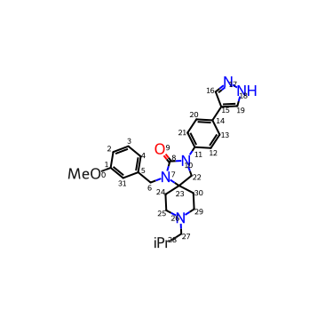 COc1cccc(CN2C(=O)N(c3ccc(-c4cn[nH]c4)cc3)CC23CCN(CC(C)C)CC3)c1